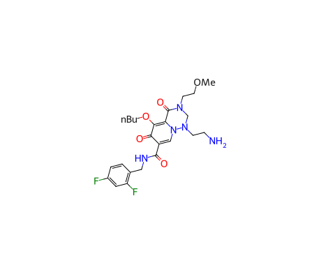 CCCCOc1c2n(cc(C(=O)NCc3ccc(F)cc3F)c1=O)N(CCN)CN(CCOC)C2=O